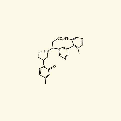 Cc1ccn(C(CN[C@@H](CC(=O)O)c2cncc(-c3c(C)cccc3Cl)c2)CC(C)C)c(=O)c1